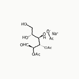 CC(=O)O[C@@H]([C@H](O)[C@H](O)CO)[C@H](C=O)OC(C)=O.CC(=O)[O-].[Na+]